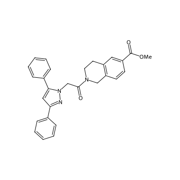 COC(=O)c1ccc2c(c1)CCN(C(=O)Cn1nc(-c3ccccc3)cc1-c1ccccc1)C2